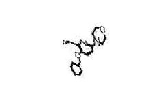 N#Cc1nc(N2CCOCC2)ccc1OCc1ccccc1